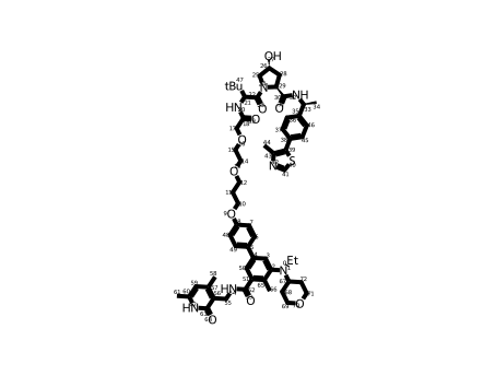 CCN(c1cc(-c2ccc(OCCCOCCOCC(=O)NC(C(=O)N3C[C@H](O)C[C@H]3C(=O)N[C@@H](C)c3ccc(-c4scnc4C)cc3)C(C)(C)C)cc2)cc(C(=O)NCc2c(C)cc(C)[nH]c2=O)c1C)C1CCOCC1